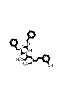 CCC(CN(CC)CCc1cccc(O)c1)N(NC(=O)OCc1ccccc1)C(=O)OCc1ccccc1